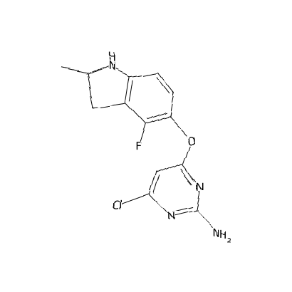 CC1Cc2c(ccc(Oc3cc(Cl)nc(N)n3)c2F)N1